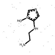 NCCNc1cncn1O